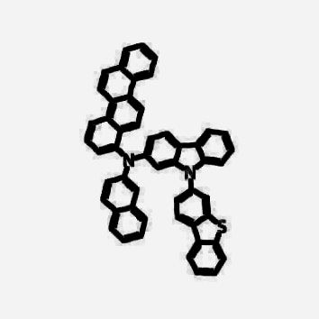 c1ccc2cc(N(c3ccc4c5ccccc5n(-c5ccc6c(c5)sc5ccccc56)c4c3)c3cccc4c3ccc3c5ccccc5ccc43)ccc2c1